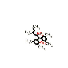 C=CCC(C)/C=C(\C)C(c1cc(C)cc(C)c1O)c1cc(C)cc(C)c1O